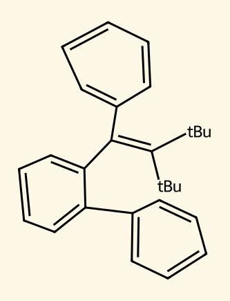 CC(C)(C)C(=C(c1ccccc1)c1ccccc1-c1ccccc1)C(C)(C)C